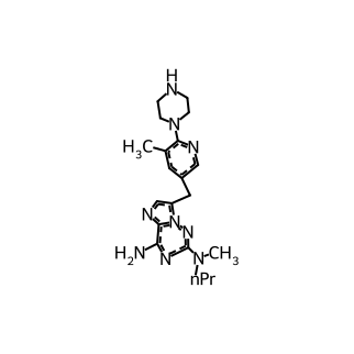 CCCN(C)c1nc(N)c2ncc(Cc3cnc(N4CCNCC4)c(C)c3)n2n1